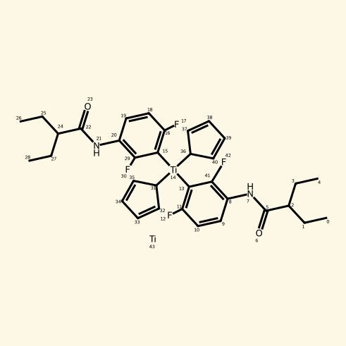 CCC(CC)C(=O)Nc1ccc(F)[c]([Ti]([c]2c(F)ccc(NC(=O)C(CC)CC)c2F)([CH]2C=CC=C2)[CH]2C=CC=C2)c1F.[Ti]